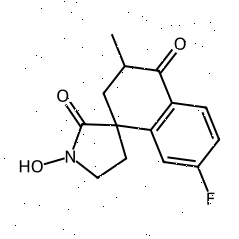 CC1CC2(CCN(O)C2=O)c2cc(F)ccc2C1=O